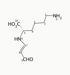 NCCCC[C@H](N/C=C/C=O)C(=O)O